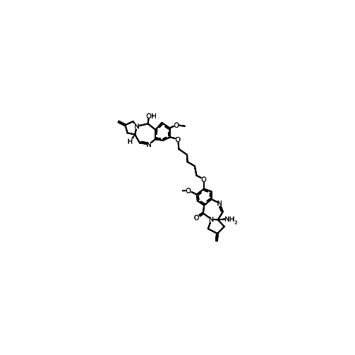 C=C1C[C@H]2C=Nc3cc(OCCCCCOc4cc5c(cc4OC)C(=O)N4CC(=C)C[C@@]4(N)C=N5)c(OC)cc3C(O)N2C1